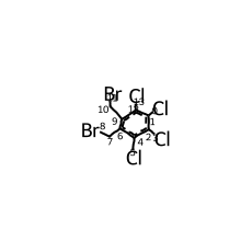 Clc1c(Cl)c(Cl)c(CBr)c(CBr)c1Cl